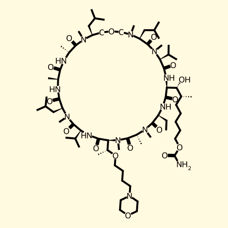 CC[C@@H]1NC(=O)[C@H]([C@H](O)[C@H](C)CCCCCOC(N)=O)NC(=O)[C@H](C(C)C)N(C)C(=O)[C@H](CC(C)C)N(C)COC[C@H](CC(C)C)N(C)C(=O)[C@@H](C)NC(=O)[C@H](C)NC(=O)[C@H](CC(C)C)N(C)C(=O)[C@H](C(C)C)NC(=O)[C@H]([C@@H](C)OCCCCN2CCOCC2)N(C)C(=O)[C@@H](C)N(C)C1=O